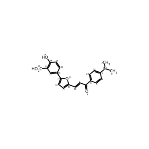 CN(C)c1ccc(C(=O)/C=C/c2ccc(-c3ccc(O)c(C(=O)O)c3)o2)cc1